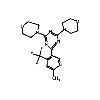 Cc1cc(C(F)(F)F)c(-c2nc(N3CCOCC3)nc(N3CCOCC3)n2)cn1